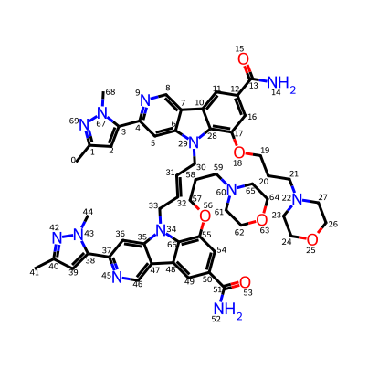 Cc1cc(-c2cc3c(cn2)c2cc(C(N)=O)cc(OCCCN4CCOCC4)c2n3C/C=C/Cn2c3cc(-c4cc(C)nn4C)ncc3c3cc(C(N)=O)cc(OCCCN4CCOCC4)c32)n(C)n1